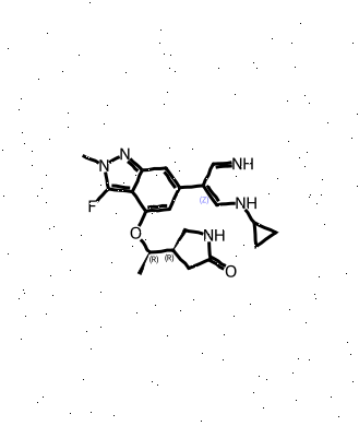 C[C@@H](Oc1cc(/C(C=N)=C/NC2CC2)cc2nn(C)c(F)c12)[C@H]1CNC(=O)C1